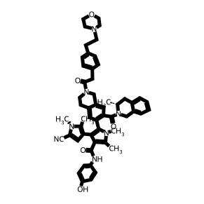 Cc1c(-c2c(C(=O)Nc3ccc(O)cc3)c(C)n(C)c2-c2cc3c(cc2C(=O)N2Cc4ccccc4C[C@H]2C)CN(C(=O)Cc2ccc(CCN4CCOCC4)cc2)CC3)cc(C#N)n1C